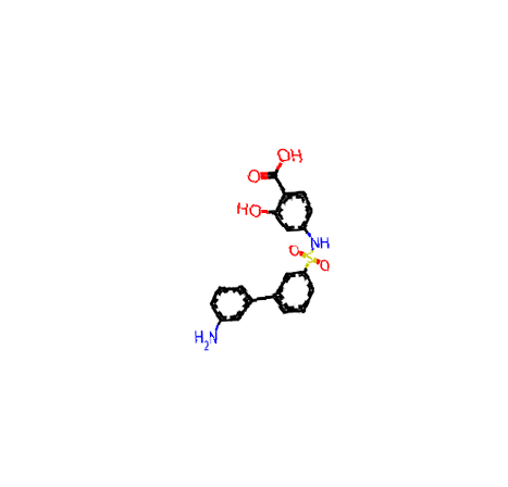 Nc1cccc(-c2cccc(S(=O)(=O)Nc3ccc(C(=O)O)c(O)c3)c2)c1